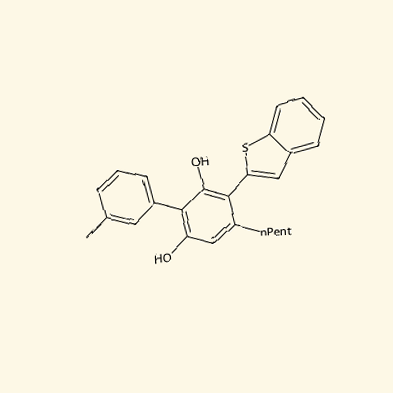 CCCCCc1cc(O)c(-c2cccc(C)c2)c(O)c1-c1cc2ccccc2s1